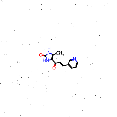 Cc1[nH]c(=O)[nH]c1C(=O)C=Cc1cccnc1